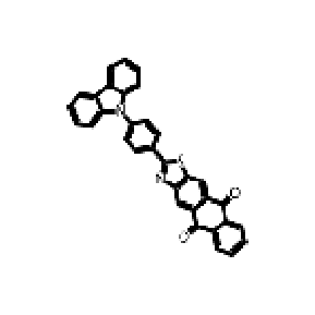 O=C1c2ccccc2C(=O)c2cc3sc(-c4ccc(-n5c6ccccc6c6ccccc65)cc4)nc3cc21